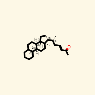 CC(=O)C=CC[C@@H](C)[C@H]1CC[C@H]2[C@@H]3CCC4CCCC[C@]4(C)[C@H]3CC[C@]12C